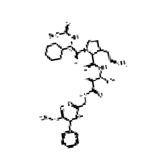 C=CCC1CCN(C(=O)[C@@H](NC(=O)OCC(C)C)C2CCCCC2)C1C(=O)NC(CCC)C(=O)C(=O)NCC(=O)NC(C(=O)OC(C)(C)C)c1ccccc1